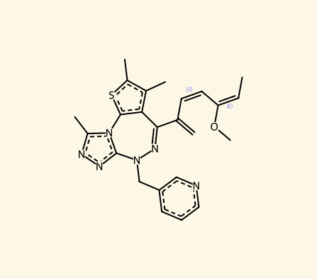 C=C(/C=C\C(=C/C)OC)C1=NN(Cc2cccnc2)c2nnc(C)n2-c2sc(C)c(C)c21